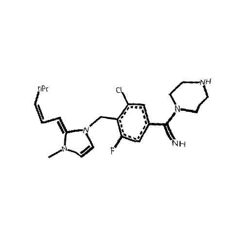 CCC/C=C\C=C1/N(C)C=CN1Cc1c(F)cc(C(=N)N2CCNCC2)cc1Cl